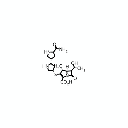 C[C@@H](O)C1C(=O)N2C(C(=O)O)=C(S[C@@H]3CN[C@H](C4CNC(C(N)=O)C4)C3)[C@H](C)[C@@H]12